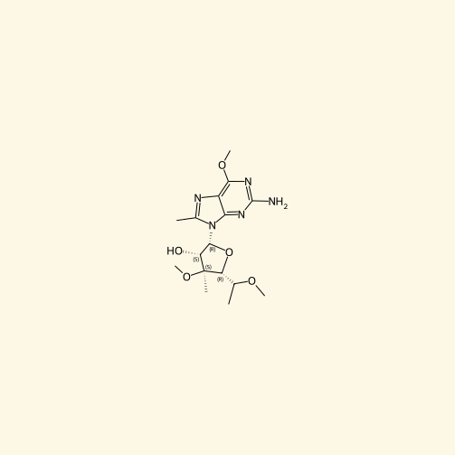 COc1nc(N)nc2c1nc(C)n2[C@@H]1O[C@H](C(C)OC)[C@@](C)(OC)[C@@H]1O